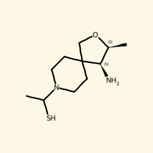 CC(S)N1CCC2(CC1)CO[C@@H](C)[C@H]2N